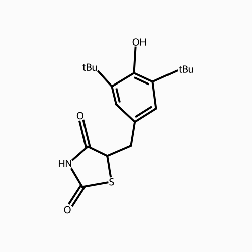 CC(C)(C)c1cc(CC2SC(=O)NC2=O)cc(C(C)(C)C)c1O